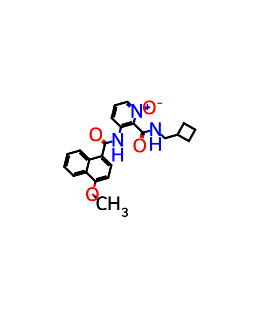 COc1ccc(C(=O)Nc2ccc[n+]([O-])c2C(=O)NCC2CCC2)c2ccccc12